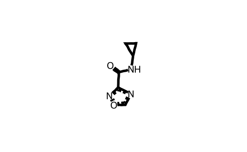 O=C(NC1CC1)c1ncon1